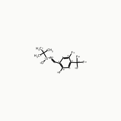 CC(C)(C)[S@+]([O-])N=Cc1cc(F)c(C(F)(F)F)cc1F